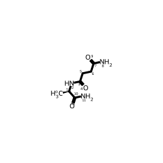 C[C@@H](NC(=O)CCC(N)=O)C(N)=O